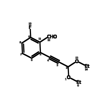 CCOC(C#Cc1cccc(F)c1C=O)OCC